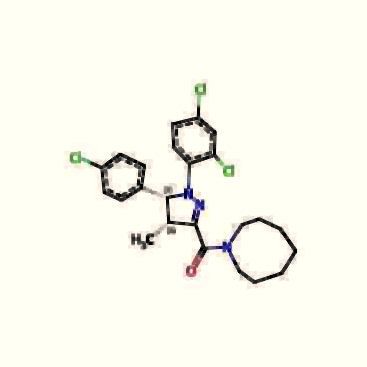 C[C@H]1C(C(=O)N2CCCCCCC2)=NN(c2ccc(Cl)cc2Cl)[C@H]1c1ccc(Cl)cc1